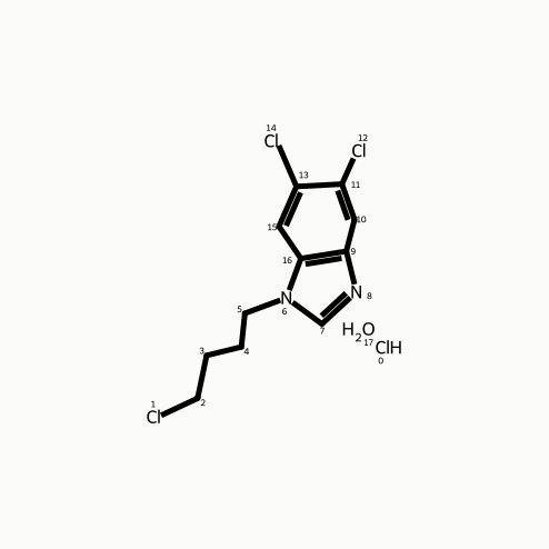 Cl.ClCCCCn1cnc2cc(Cl)c(Cl)cc21.O